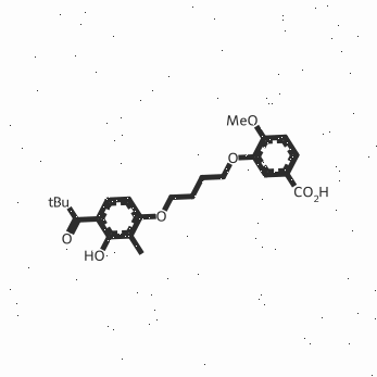 COc1ccc(C(=O)O)cc1OCCCCOc1ccc(C(=O)C(C)(C)C)c(O)c1C